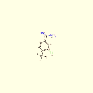 CC(C)(C)c1ccc(C(=N)N)cc1Cl